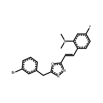 CN(C)c1cc(F)ccc1/C=C/c1nnc(Cc2cccc(Br)c2)o1